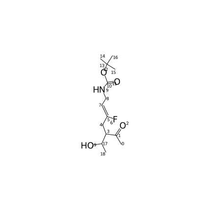 CC(=O)C(C/C(F)=C/CNC(=O)OC(C)(C)C)C(C)O